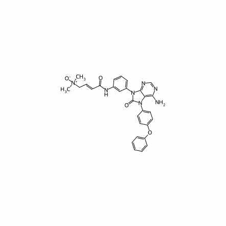 C[N+](C)([O-])C/C=C/C(=O)Nc1cccc(-n2c(=O)n(-c3ccc(Oc4ccccc4)cc3)c3c(N)ncnc32)c1